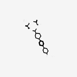 C=C(C)C(=O)OCC(COC(=O)C(=C)CO)C1CCC(c2ccc(C3CCC(CCCCC)CC3)cc2)CC1